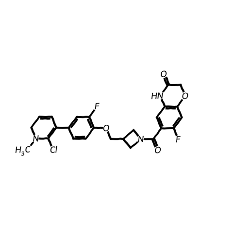 CN1CC=CC(c2ccc(OCC3CN(C(=O)c4cc5c(cc4F)OCC(=O)N5)C3)c(F)c2)=C1Cl